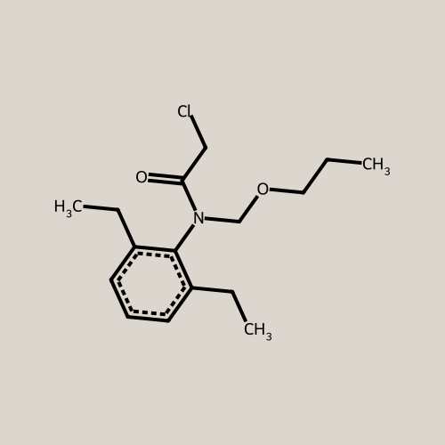 CCCOCN(C(=O)CCl)c1c(CC)cccc1CC